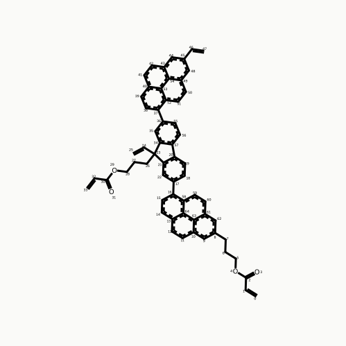 C=CC(=O)OCCCc1cc2ccc3ccc(-c4ccc5c(c4)C(C=C)(CCCOC(=O)C=C)c4cc(-c6ccc7ccc8cc(C=C)cc9ccc6c7c89)ccc4-5)c4ccc(c1)c2c34